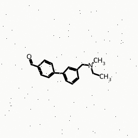 CCN(C)Cc1cccc(-c2ccc(C=O)cc2)c1